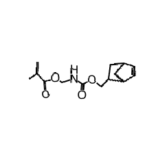 C=C(C)C(=O)OCNC(=O)OCC1CC2C=CC1C2